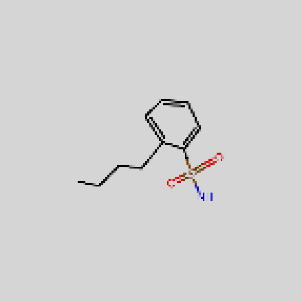 CCCCc1ccccc1S([NH])(=O)=O